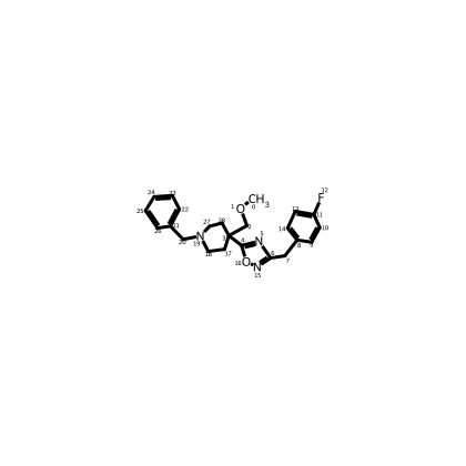 COCC1(c2nc(Cc3ccc(F)cc3)no2)CCN(Cc2ccccc2)CC1